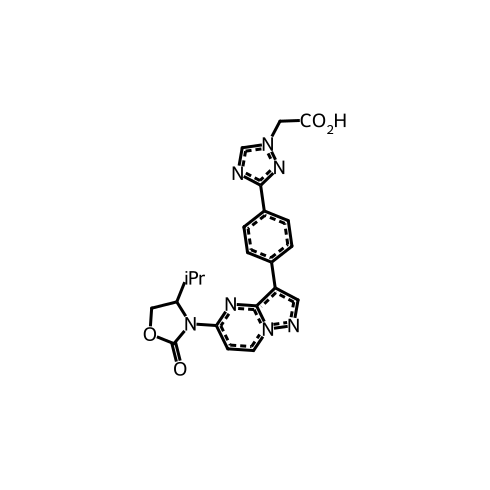 CC(C)C1COC(=O)N1c1ccn2ncc(-c3ccc(-c4ncn(CC(=O)O)n4)cc3)c2n1